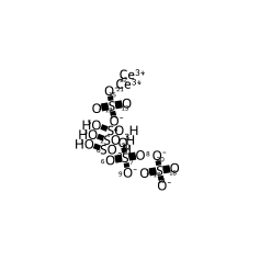 O=S(=O)(O)O.O=S(=O)(O)O.O=S(=O)(O)O.O=S(=O)([O-])[O-].O=S(=O)([O-])[O-].O=S(=O)([O-])[O-].[Ce+3].[Ce+3]